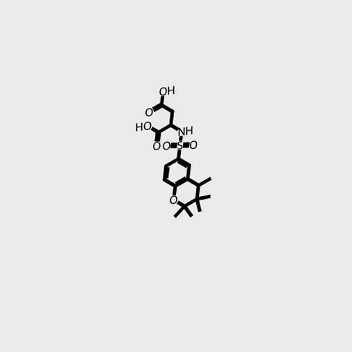 CC1c2cc(S(=O)(=O)NC(CC(=O)O)C(=O)O)ccc2OC(C)(C)C1(C)C